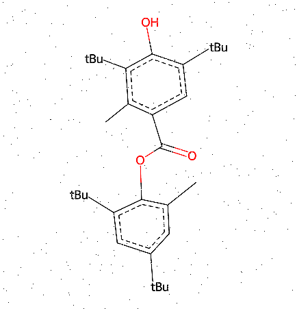 Cc1cc(C(C)(C)C)cc(C(C)(C)C)c1OC(=O)c1cc(C(C)(C)C)c(O)c(C(C)(C)C)c1C